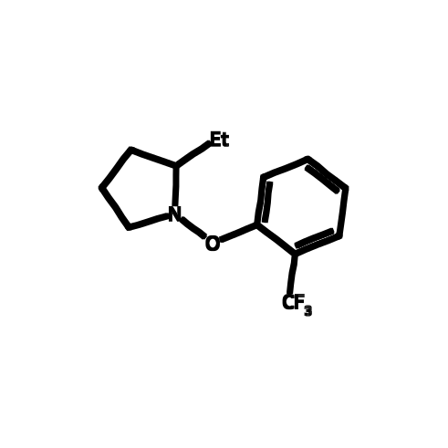 CCC1CCCN1Oc1ccccc1C(F)(F)F